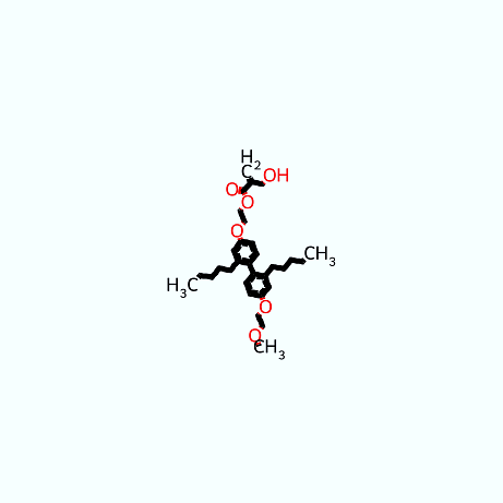 C=C(CO)C(=O)OCCOc1ccc(-c2ccc(OCCOC)cc2CCCCC)c(CCCCC)c1